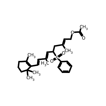 CC(=O)OC/C=C(\C)CC(/C=C(C)/C=C/C1=C(C)CCCC1(C)C)S(=O)(=O)c1ccccc1